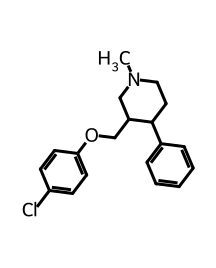 CN1CCC(c2ccccc2)C(COc2ccc(Cl)cc2)C1